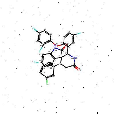 O=C1C[C@@H](c2cccc(Cl)c2)[C@]2(C(=O)Nc3cc(F)ccc32)[C@@H](c2cc(F)ccc2Oc2ccc(F)cc2F)N1